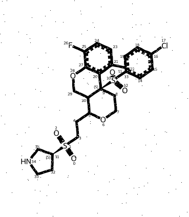 O=S(=O)(CCC1OCC[C@@]2(S(=O)(=O)c3ccc(Cl)cc3)c3c(F)ccc(F)c3OCC12)[C@H]1CCNC1